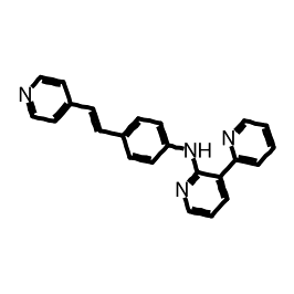 C(=Cc1ccc(Nc2ncccc2-c2ccccn2)cc1)c1ccncc1